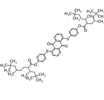 CC(CCC(C(=O)Oc1ccc(Sc2cccc3c2C(=O)c2cccc(Sc4ccc(OC(=O)C(CC(C)CC(C)(C)C)C(C)CCC(C)(C)C)cc4)c2C3=O)cc1)C(C)CC(C)(C)C)CC(C)(C)C